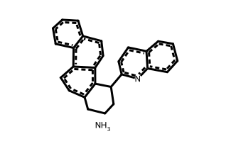 N.c1ccc2nc(C3CCCc4ccc5c(ccc6ccccc65)c43)ccc2c1